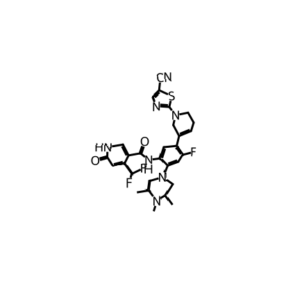 CC1CN(c2cc(F)c(C3=CCCN(c4ncc(C#N)s4)C3)cc2NC(=O)c2c[nH]c(=O)cc2C(F)F)CC(C)N1C